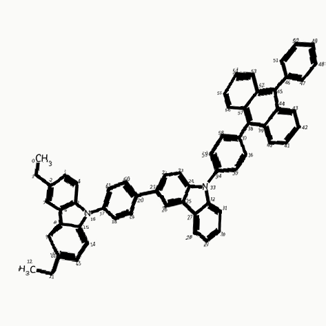 CCc1ccc2c(c1)c1cc(CC)ccc1n2-c1ccc(-c2ccc3c(c2)c2ccccc2n3-c2ccc(-c3c4ccccc4c(-c4ccccc4)c4ccccc34)cc2)cc1